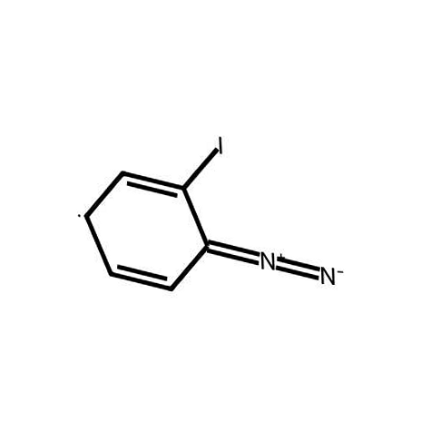 [N-]=[N+]=C1C=C[CH]C=C1I